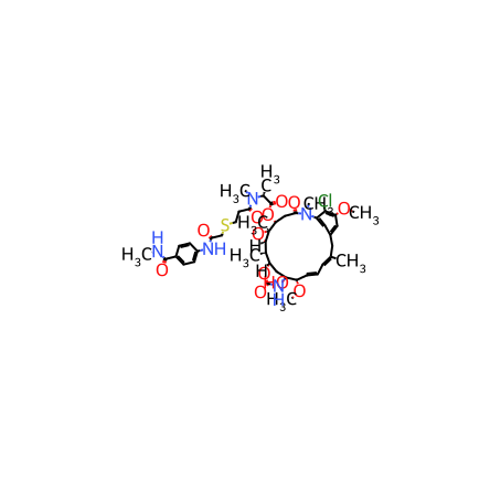 CNC(=O)c1ccc(NC(=O)CSCCC(=O)N(C)[C@@H](C)C(=O)O[C@H]2CC(=O)N(C)c3cc(cc(OC)c3Cl)C/C(C)=C/C=C/[C@@H](OC)[C@@]3(O)C[C@H](OC(=O)N3)[C@@H](C)[C@@H]3O[C@@]23C)cc1